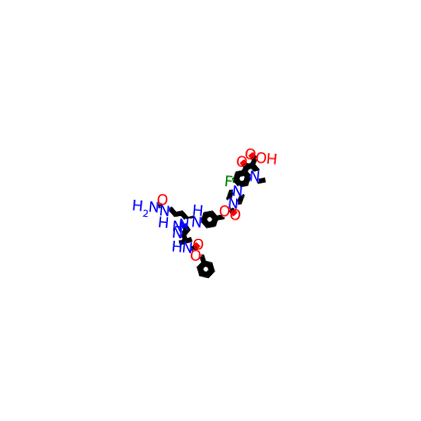 CCn1cc(C(=O)O)c(=O)c2cc(F)c(N3CCN(C(=O)OCc4ccc(NC[C@H](CCCNC(N)=O)n5cc(C(C)(C)NC(=O)OCc6ccccc6)nn5)cc4)CC3)cc21